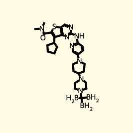 BC(B)(B)N1CCN(C2CCN(c3ccc(Nc4ncc5sc(C(=O)N(C)C)c(C6CCCC6)c5n4)nc3)CC2)CC1